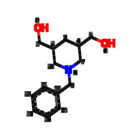 OCC1CC(CO)CN(Cc2ccccc2)C1